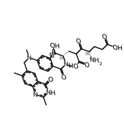 Cc1nc2cc(C)c(CN(C)c3ccc(C(=O)N(C)[C@@H](CC(C(=O)O)C(=O)[C@@H](N)CCC(=O)O)C(=O)O)c(F)c3)cc2c(=O)[nH]1